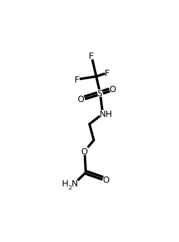 NC(=O)OCCNS(=O)(=O)C(F)(F)F